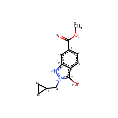 COC(=O)c1ccc2c(Br)n(CC3CC3)nc2c1